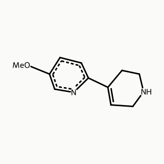 COc1ccc(C2=CCNCC2)nc1